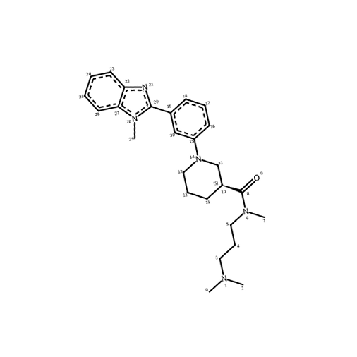 CN(C)CCCN(C)C(=O)[C@H]1CCCN(c2cccc(-c3nc4ccccc4n3C)c2)C1